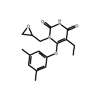 CCc1c(Oc2cc(C)cc(C)c2)n(CC2CO2)c(=O)[nH]c1=O